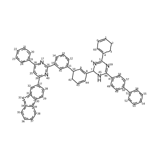 C1=CCCC(C2=NC(C3=CC(c4cccc(-c5nc(-c6ccccc6)cc(-c6ccc7c(c6)sc6ccccc67)n5)c4)CC=C3)NC(c3ccc(-c4ccccc4)cc3)=N2)=C1